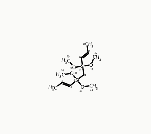 CC=C[Si](C[Si](C=CC)(OC)OC)(OC)OC